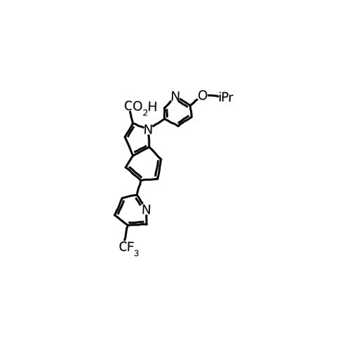 CC(C)Oc1ccc(-n2c(C(=O)O)cc3cc(-c4ccc(C(F)(F)F)cn4)ccc32)cn1